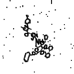 Cc1cc(C(=O)c2cnc(NCC3OC(COCc4ccccc4)C(OCc4ccccc4)C(OCc4ccccc4)C3OCc3ccccc3)s2)c(C)n1-c1ccc(F)cc1